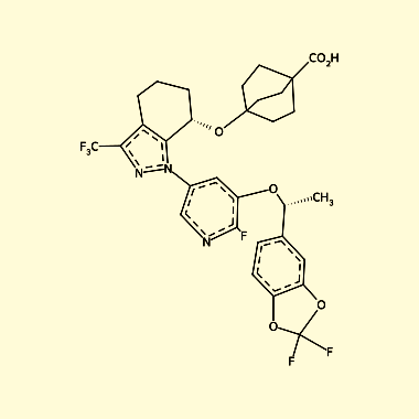 C[C@@H](Oc1cc(-n2nc(C(F)(F)F)c3c2[C@@H](OC24CCC(C(=O)O)(CC2)CC4)CCC3)cnc1F)c1ccc2c(c1)OC(F)(F)O2